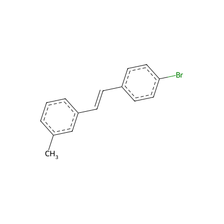 Cc1cccc(/C=C/c2ccc(Br)cc2)c1